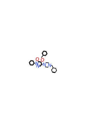 O=c1c(OCc2ccccc2)c(N2CCN(CC3CC=CCC3)CC2)cnn1-c1ccccc1